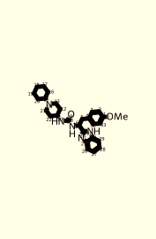 COc1ccc(CC(NC(=O)NC2CCN(C3CCCCC3)CC2)c2nc3ccccc3[nH]2)cc1